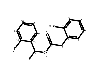 CC(OC(=O)Cc1ccccc1F)c1ccccc1I